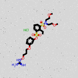 CCc1c(S(=O)(=O)Oc2cccc(OCCCONC(=N)N)c2)cccc1S(=O)(=O)N(CCOC)CCOC.Cl